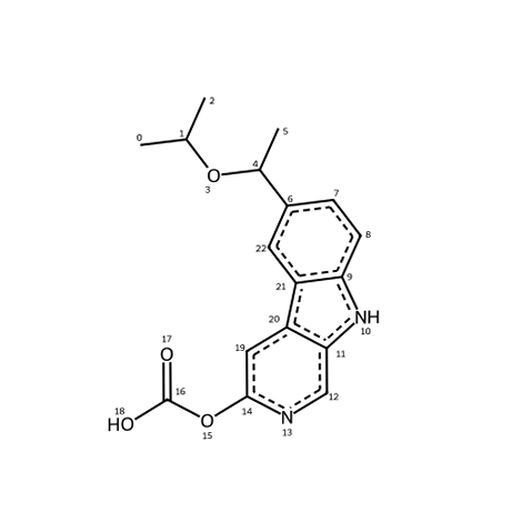 CC(C)OC(C)c1ccc2[nH]c3cnc(OC(=O)O)cc3c2c1